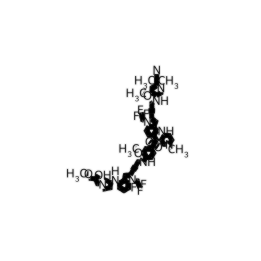 COCC(O)CN1CCC(Nc2cccc3c2cc(C#CCNc2ccc(S(=O)(=O)Cc4ccc5c(cc(C#CCNc6cnc(C(C)(C)C#N)cc6OC)n5CC(F)(F)F)c4NC4CCN(C)CC4)cc2OC)n3CC(F)(F)F)C1